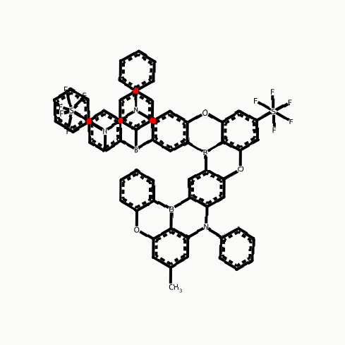 Cc1cc2c3c(c1)N(c1ccccc1)c1cc4c(cc1B3c1ccccc1O2)B1c2cc3c(cc2Oc2cc(S(F)(F)(F)(F)F)cc(c21)O4)N(c1ccccc1)c1cc(S(F)(F)(F)(F)F)cc2c1B3c1ccccc1N2c1ccccc1